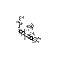 COc1cc2nc(Nc3nc(O)c4cc(OCCNNCCO)ccc4n3)nc(C)c2cc1OC.O=C(O)C(F)(F)F